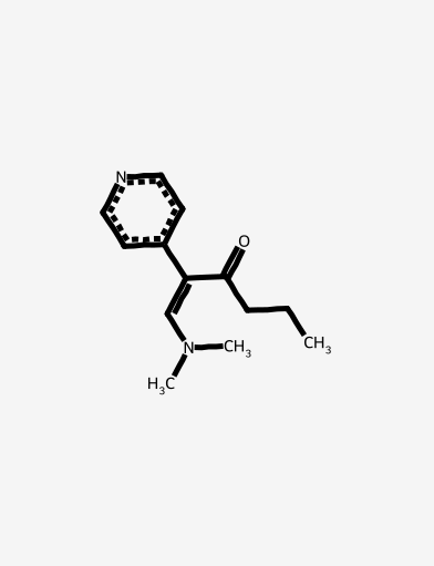 CCCC(=O)C(=CN(C)C)c1ccncc1